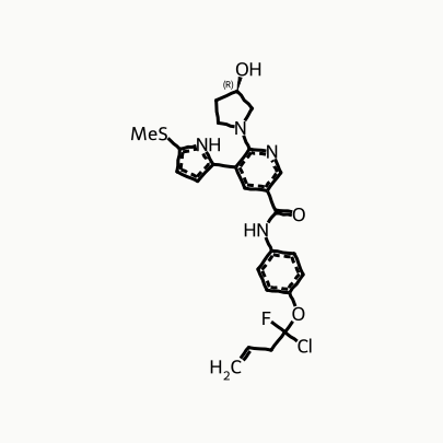 C=CCC(F)(Cl)Oc1ccc(NC(=O)c2cnc(N3CC[C@@H](O)C3)c(-c3ccc(SC)[nH]3)c2)cc1